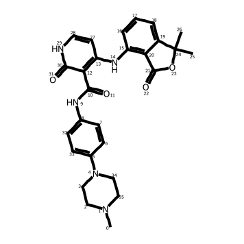 CN1CCN(c2ccc(NC(=O)c3c(Nc4cccc5c4C(=O)OC5(C)C)cc[nH]c3=O)cc2)CC1